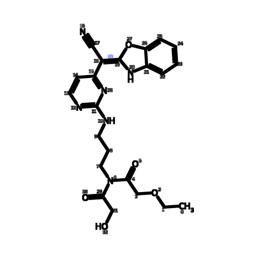 CCOCC(=O)N(CCCNc1nccc(/C(C#N)=C2\Nc3ccccc3O2)n1)C(=O)CO